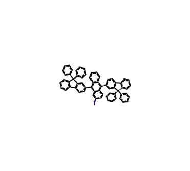 Ic1ccc2c(-c3ccc4c(c3)C(c3ccccc3)(c3ccccc3)c3ccccc3-4)c3ccccc3c(-c3ccc4c(c3)C(c3ccccc3)(c3ccccc3)c3ccccc3-4)c2c1